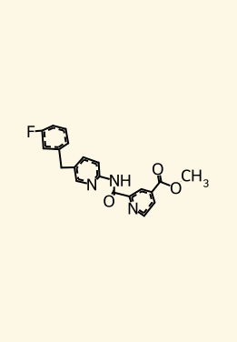 COC(=O)c1ccnc(C(=O)Nc2ccc(Cc3cccc(F)c3)cn2)c1